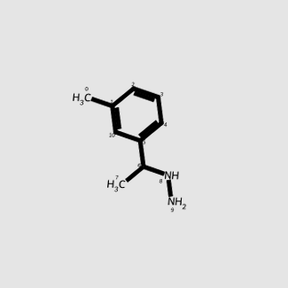 Cc1cccc(C(C)NN)c1